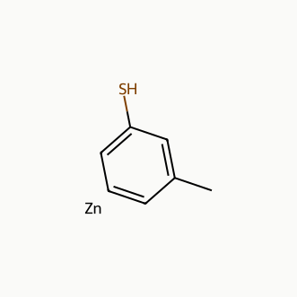 Cc1cccc(S)c1.[Zn]